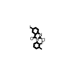 Cc1cccc(-n2c(Cl)nc3ccc(I)cc3c2=O)c1F